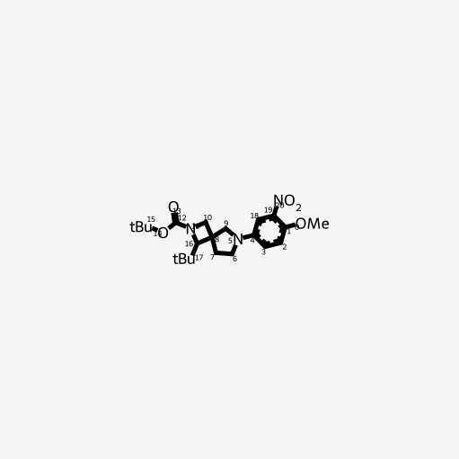 COc1ccc(N2CCC3(C2)CN(C(=O)OC(C)(C)C)C3C(C)(C)C)cc1[N+](=O)[O-]